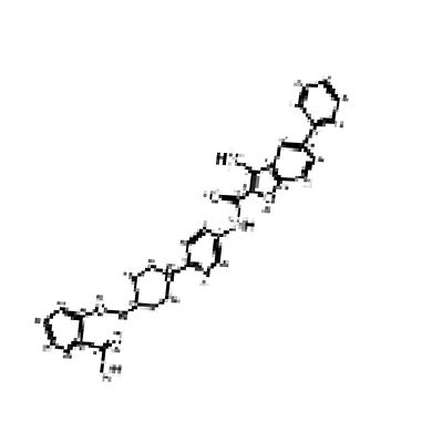 Cc1c(C(=O)Nc2ccc(N3CCC(COc4ccccc4C(=O)O)CC3)nc2)oc2ccc(-c3ccccc3)cc12